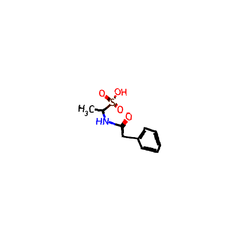 CC(NC(=O)Cc1ccccc1)S(=O)(=O)O